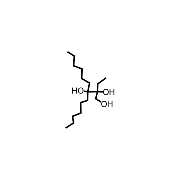 CCCCCCC(O)(CCCCCC)C(O)(CC)CO